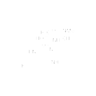 CNC(C)C(=O)NC(C(=O)N1CCC2NCC(c3c[nH]c4cc(F)ccc34)C21)C(C)O